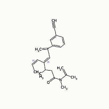 C#Cc1cccc(C(=C)/C=C(\C=C/C)C(C)CC(=O)N(C)C(=C)C)c1